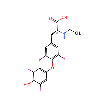 CCN[C@@H](Cc1cc(I)c(Oc2cc(I)c(O)c(I)c2)c(I)c1)C(=O)O